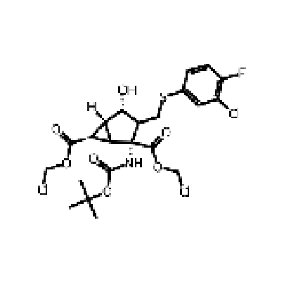 CC(C)(C)OC(=O)N[C@@]1(C(=O)OCCl)C(CSc2ccc(F)c(Cl)c2)[C@@H](O)[C@@H]2C1[C@H]2C(=O)OCCl